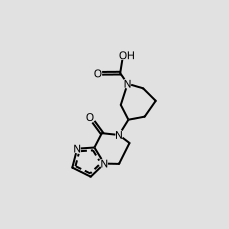 O=C(O)N1CCCC(N2CCn3ccnc3C2=O)C1